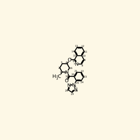 CC1CCC(Oc2nccc3ccccc23)CN1C(=O)c1ccccc1-n1nccn1